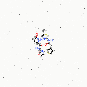 CC(C)c1cnc(NC(=O)Cc2ccsc2)s1.O=C1CCC(C(=O)Nc2ncco2)N1